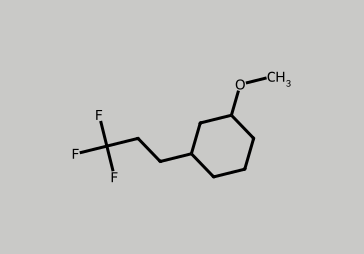 COC1CCCC(CCC(F)(F)F)C1